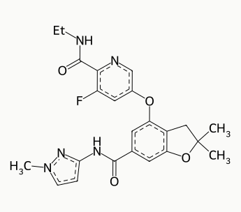 CCNC(=O)c1ncc(Oc2cc(C(=O)Nc3ccn(C)n3)cc3c2CC(C)(C)O3)cc1F